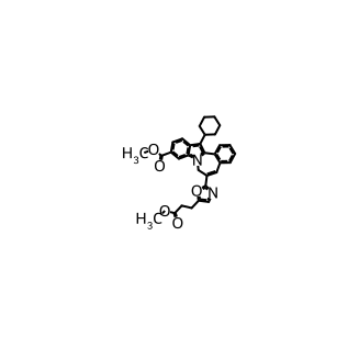 COC(=O)CCc1cnc(C2=Cc3ccccc3-c3c(C4CCCCC4)c4ccc(C(=O)OC)cc4n3C2)o1